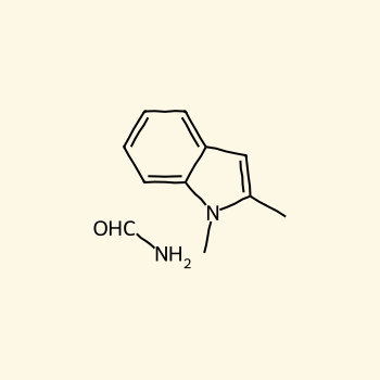 Cc1cc2ccccc2n1C.NC=O